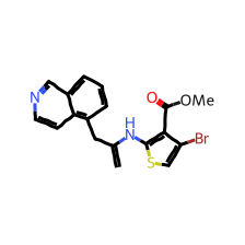 C=C(Cc1cccc2cnccc12)Nc1scc(Br)c1C(=O)OC